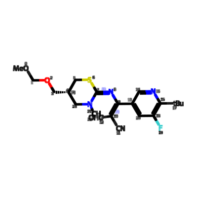 COCOC[C@@H]1CS/C(=N/C(=C(/C#N)C=O)c2cnc(C(C)(C)C)c(F)c2)N(C)C1